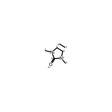 CC.CN1CCN(C)C1=O